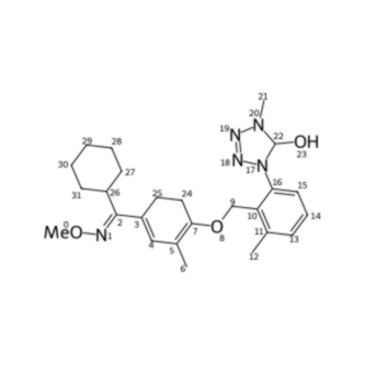 CON=C(C1=CC(C)=C(OCc2c(C)cccc2N2N=NN(C)C2O)CC1)C1CCCCC1